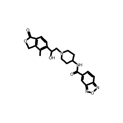 Cc1c(C(O)CN2CCC(NC(=O)c3ccc4nonc4c3)CC2)ccc2c1COC2=O